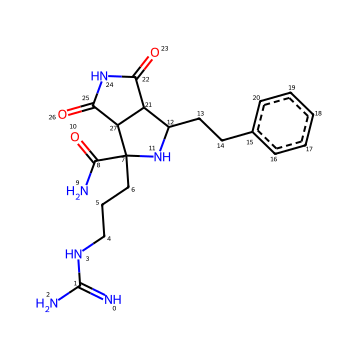 N=C(N)NCCCC1(C(N)=O)NC(CCc2ccccc2)C2C(=O)NC(=O)C21